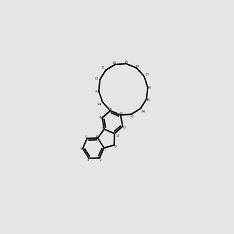 [CH]1c2ccccc2-c2cc3c(cc21)CCCCCCCCCCCC3